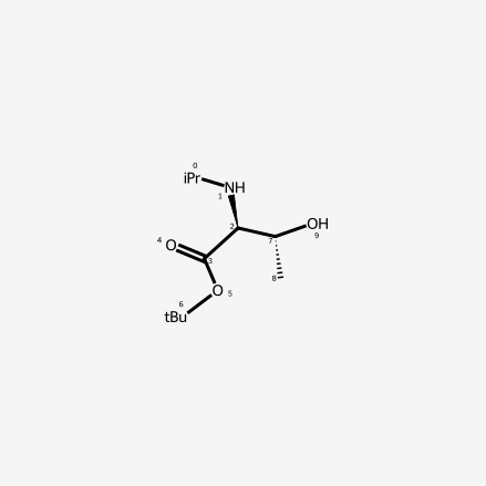 CC(C)N[C@H](C(=O)OC(C)(C)C)[C@@H](C)O